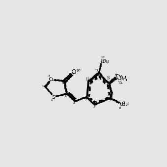 CC(C)(C)c1cc(C=C2SCOC2=O)cc(C(C)(C)C)c1O